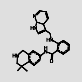 CC1(C)CNCc2cc(NC(=O)c3ccccc3NCC3=CNC4N=CC=CC34)ccc21